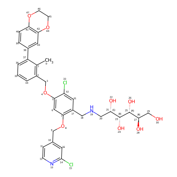 Cc1c(COc2cc(OCc3ccnc(Cl)c3)c(CNC[C@H](O)[C@@H](O)[C@H](O)[C@H](O)CO)cc2Cl)cccc1-c1ccc2c(c1)OCCO2